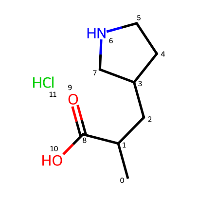 CC(CC1CCNC1)C(=O)O.Cl